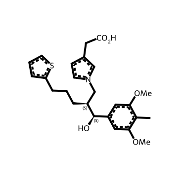 COc1cc([C@@H](O)[C@@H](CCCc2cccs2)Cn2ccc(CC(=O)O)c2)cc(OC)c1C